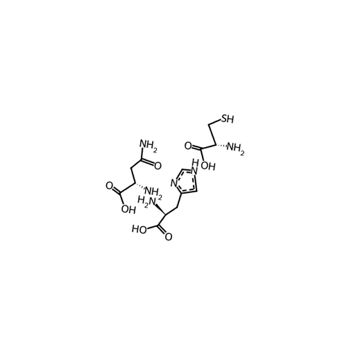 NC(=O)C[C@H](N)C(=O)O.N[C@@H](CS)C(=O)O.N[C@@H](Cc1c[nH]cn1)C(=O)O